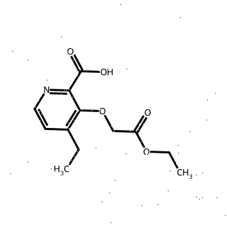 CCOC(=O)COc1c(CC)ccnc1C(=O)O